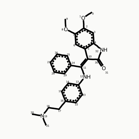 COc1cc2c(cc1OC)/C(=C(/Nc1ccc(CCN(C)C)cc1)c1ccccc1)C(=O)N2